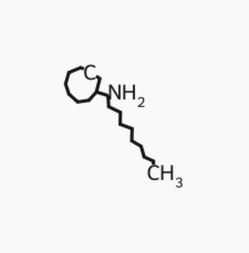 CCCCCCCCCC(N)C1CCCCCCCC1